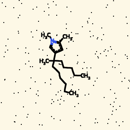 CCCCCCC(C)(CCCCC)c1cc(C)n(C)c1